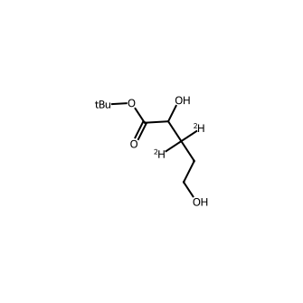 [2H]C([2H])(CCO)C(O)C(=O)OC(C)(C)C